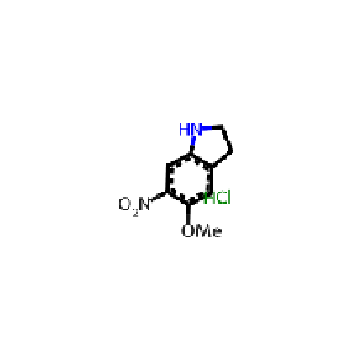 COc1cc2c(cc1[N+](=O)[O-])NCC2.Cl